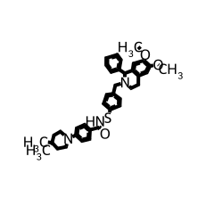 COc1cc2c(cc1OC)C(c1ccccc1)N(Cc1ccc(SNC(=O)c3ccc(N4CCC(C)(C)CC4)cc3)cc1)CC2